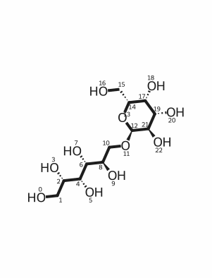 OC[C@H](O)[C@@H](O)[C@H](O)[C@H](O)CO[C@H]1O[C@H](CO)[C@H](O)[C@H](O)[C@H]1O